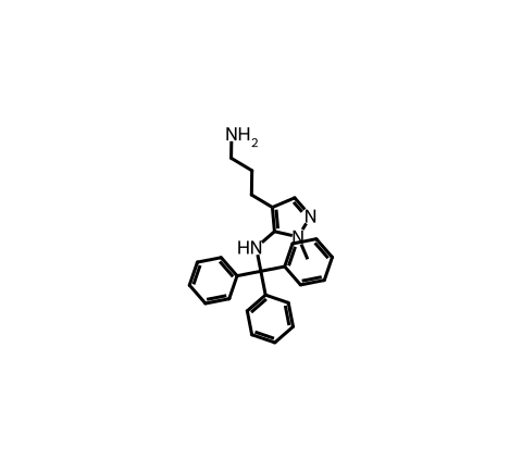 Cn1ncc(CCCN)c1NC(c1ccccc1)(c1ccccc1)c1ccccc1